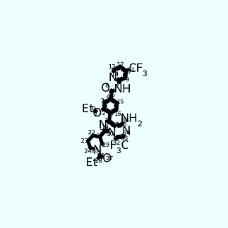 CCOc1cc(C(=O)Nc2cc(C(F)(F)F)ccn2)ccc1-c1nc(C2CCCN(C(=O)CC)C2)n2c(C(F)(F)F)cnc(N)c12